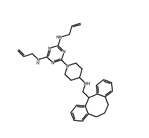 C=CCNc1nc(NCC=C)nc(N2CCC(NCC3c4ccccc4CCCc4ccccc43)CC2)n1